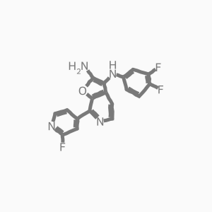 Nc1oc2c(-c3ccnc(F)c3)nccc2c1Nc1ccc(F)c(F)c1